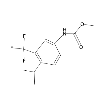 COC(=O)Nc1ccc(C(C)C)c(C(F)(F)F)c1